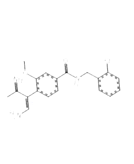 COc1cc(C(=O)NCc2ccccc2Cl)ccc1/C(=C/N)C(C)=N